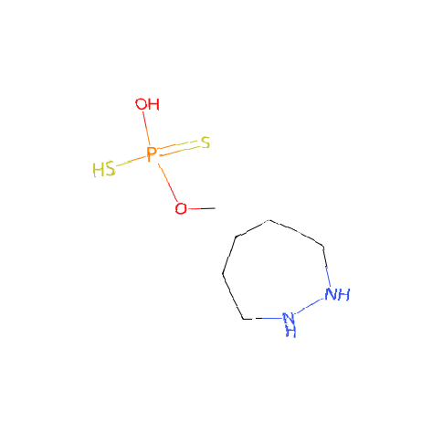 C1CCNNCC1.COP(O)(=S)S